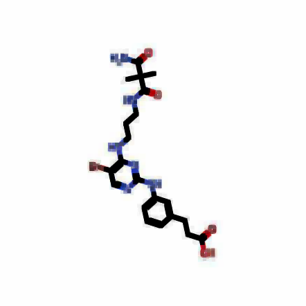 CC(C)(C(N)=O)C(=O)NCCCNc1nc(Nc2cccc(CCC(=O)O)c2)ncc1Br